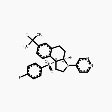 O=S(=O)(c1ccc(F)cc1)[C@@]12CCN(c3ccnnc3)[C@@H]1CCc1cc(C(F)(C(F)(F)F)C(F)(F)F)ccc12